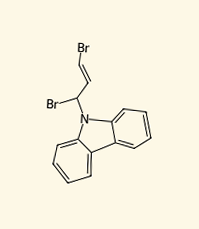 BrC=CC(Br)n1c2ccccc2c2ccccc21